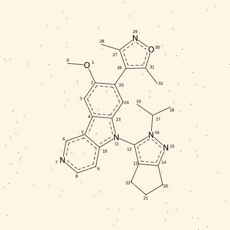 COc1cc2c3cnccc3n(-c3c4c(nn3C(C)C)CCC4)c2cc1-c1c(C)noc1C